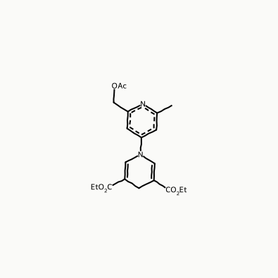 CCOC(=O)C1=CN(c2cc(C)nc(COC(C)=O)c2)C=C(C(=O)OCC)C1